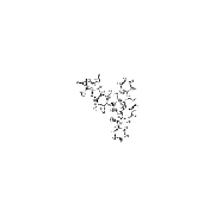 COC(=O)C1(C(=O)OC)Cc2c(C)c(C)c(B3Nc4c(C(=O)c5ccccc5)ccc5cccc(c45)N3Cc3ccccc3)c(C)c2C1